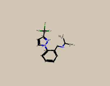 CC(C)NCc1ccccc1-n1ccc(C(F)(F)F)n1